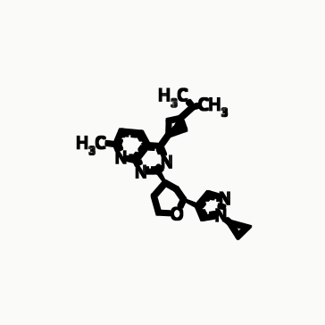 Cc1ccc2c(C34CC(C(C)C)(C3)C4)nc([C@@H]3CCO[C@H](c4cnn(C5CC5)c4)C3)nc2n1